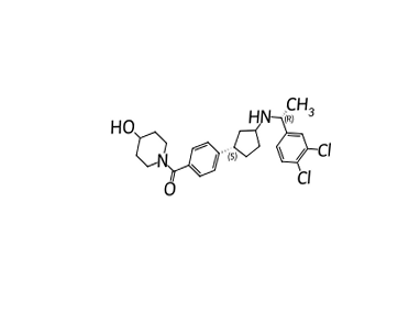 C[C@@H](NC1CC[C@H](c2ccc(C(=O)N3CCC(O)CC3)cc2)C1)c1ccc(Cl)c(Cl)c1